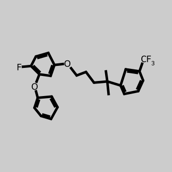 CC(C)(CCCOc1ccc(F)c(Oc2ccccc2)c1)c1cccc(C(F)(F)F)c1